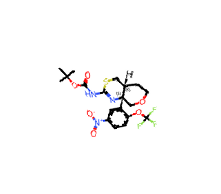 CC(C)(C)OC(=O)NC1=N[C@@]2(c3cc([N+](=O)[O-])ccc3OC(F)(F)F)COCC[C@H]2CS1